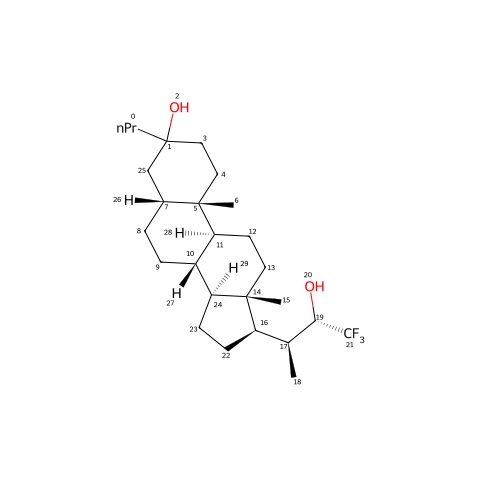 CCCC1(O)CC[C@@]2(C)[C@H](CC[C@@H]3[C@@H]2CC[C@]2(C)[C@@H]([C@H](C)[C@H](O)C(F)(F)F)CC[C@@H]32)C1